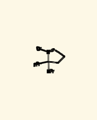 CCCC1(CCC)CCC=[N+]1[O-]